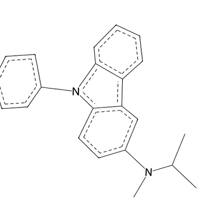 CC(C)N(C)c1ccc2c(c1)c1ccccc1n2-c1ccccc1